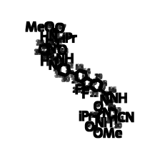 COC(=O)NC(C(=O)N1C[C@@](C)(C#N)C[C@H]1c1nc(-c2ccc3c(c2)C(F)(F)c2cc(-c4ccc5nc([C@@H]6[C@H]7CC[C@H](C7)N6C(=O)[C@@H](NC(=O)OC)C(C)C)[nH]c5c4)ccc2-3)c[nH]1)C(C)C